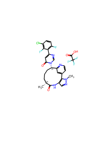 C[C@@H]1CCC[C@H](n2cnc(-c3c(F)ccc(Cl)c3F)cc2=O)c2cc(ccn2)-c2c(cnn2C)NC1=O.O=C(O)C(F)(F)F